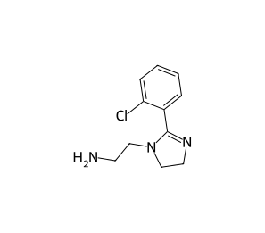 NCCN1CCN=C1c1ccccc1Cl